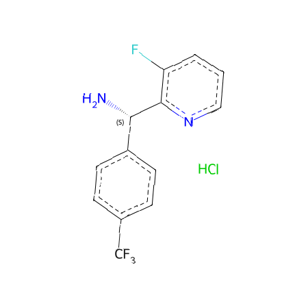 Cl.N[C@@H](c1ccc(C(F)(F)F)cc1)c1ncccc1F